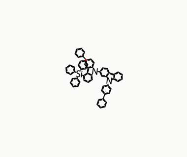 c1ccc(-c2ccc(-n3c4ccccc4c4ccc(-n5c6ccc(-c7ccccc7)cc6c6c([Si](c7ccccc7)(c7ccccc7)c7ccccc7)cccc65)cc43)cc2)cc1